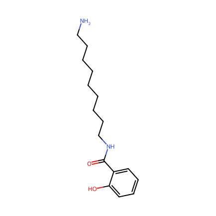 NCCCCCCCCCNC(=O)c1ccccc1O